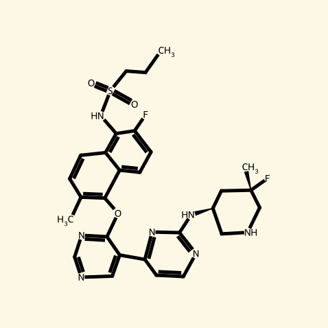 CCCS(=O)(=O)Nc1c(F)ccc2c(Oc3ncncc3-c3ccnc(N[C@@H]4CNC[C@@](C)(F)C4)n3)c(C)ccc12